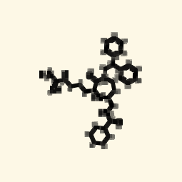 N=C(N)NCCC[C@@H]1N[C@H](CNC(=O)C2CCCCC2)CCN(CC(c2ccccc2)c2ccccc2)C1=O